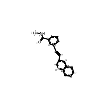 NNC(=O)c1cccc(C#Cc2cnc3ccccc3c2)c1